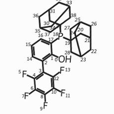 Oc1c(-c2c(F)c(F)c(F)c(F)c2F)cccc1P(C12CC3CC(CC(C3)C1)C2)C12CC3CC(CC(C3)C1)C2